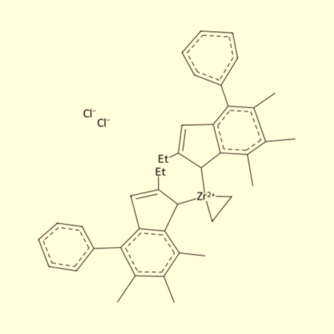 CCC1=Cc2c(-c3ccccc3)c(C)c(C)c(C)c2[CH]1[Zr+2]1([CH]2C(CC)=Cc3c(-c4ccccc4)c(C)c(C)c(C)c32)[CH2][CH2]1.[Cl-].[Cl-]